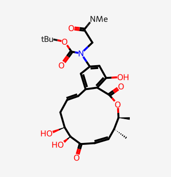 CNC(=O)CN(C(=O)OC(C)(C)C)c1cc(O)c2c(c1)/C=C/C[C@H](O)[C@H](O)C(=O)/C=C\[C@@H](C)[C@H](C)OC2=O